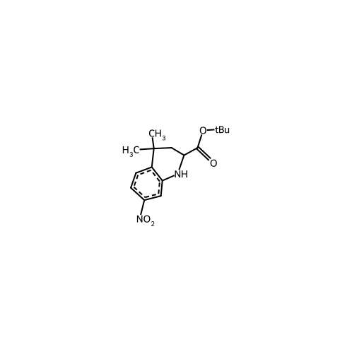 CC(C)(C)OC(=O)C1CC(C)(C)c2ccc([N+](=O)[O-])cc2N1